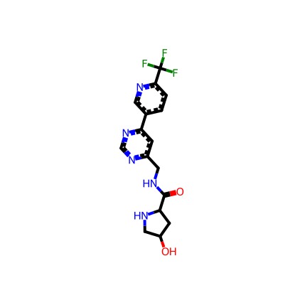 O=C(NCc1cc(-c2ccc(C(F)(F)F)nc2)ncn1)C1CC(O)CN1